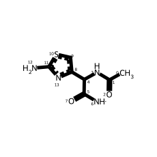 CC(=O)NC(C([NH])=O)c1csc(N)n1